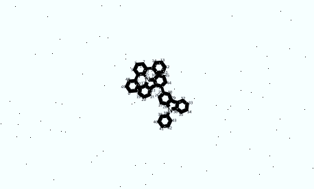 c1ccc(-c2cccc(-c3ccccc3)c2-n2c3ccccc3c3c(-c4ccc5c(c4)c4ccccc4n5-c4ccccc4)cccc32)cc1